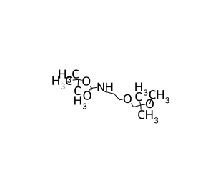 COC(C)(C)COCCCNC(=O)OC(C)(C)C